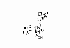 CC(CCC(=O)NC(CSCC(=O)Nc1ccccc1S(=O)O)C(=O)NCC(=O)O)C(=O)O